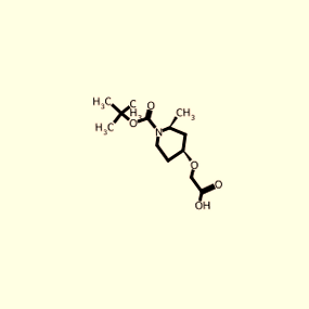 C[C@H]1C[C@@H](OCC(=O)O)CCN1C(=O)OC(C)(C)C